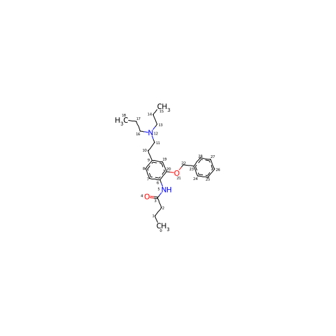 CCCC(=O)Nc1ccc(CCN(CCC)CCC)cc1OCc1ccccc1